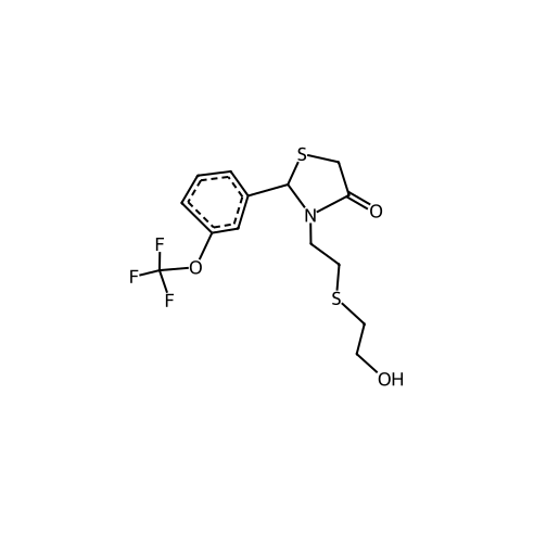 O=C1CSC(c2cccc(OC(F)(F)F)c2)N1CCSCCO